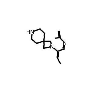 C=C(C)/N=C\C(=C/C)N1CC2(CCNCC2)C1